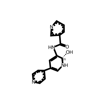 O=C(NC1=CC(c2ccncc2)=CN[C@H]1O)c1cccnc1